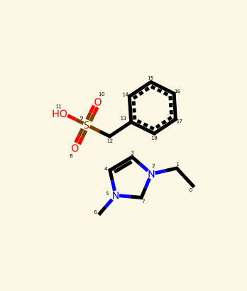 CCN1C=CN(C)C1.O=S(=O)(O)Cc1ccccc1